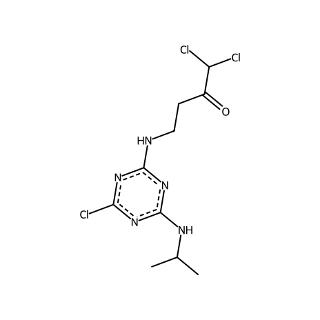 CC(C)Nc1nc(Cl)nc(NCCC(=O)C(Cl)Cl)n1